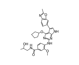 COc1cc(C(=O)NCC(C)O)ccc1Nc1nc(OC2CCCC2)c2c(-c3ccc4nc(C)oc4c3)c[nH]c2n1